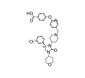 O=C(O)c1ccc(Oc2ccc(CN3CCC(N4C(=O)N(C5CCOCC5)C[C@H]4c4cccc(Cl)c4)CC3)cn2)cc1